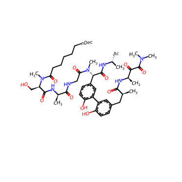 CCCCCCCCCCCCCCCC(=O)N(C)[C@H](CO)C(=O)N[C@H](C)C(=O)NCC(=O)N(C)[C@H](C(=O)N[C@@H](C)C(C)=O)c1ccc(O)c(-c2cc(C[C@H](C)C(=O)N[C@H](C)C(=O)C(=O)N(C)C)ccc2O)c1